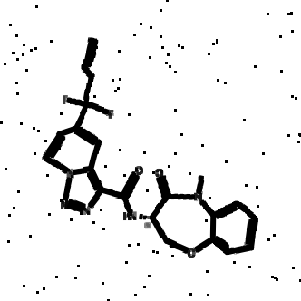 C=CCC(F)(F)c1ccn2nnc(C(=O)N[C@H]3COc4ccccc4N(C)C3=O)c2c1